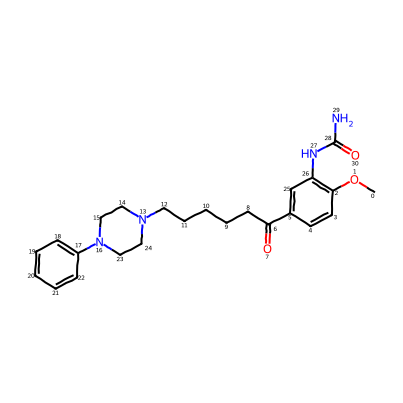 COc1ccc(C(=O)CCCCCN2CCN(c3ccccc3)CC2)cc1NC(N)=O